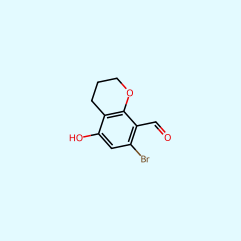 O=Cc1c(Br)cc(O)c2c1OCCC2